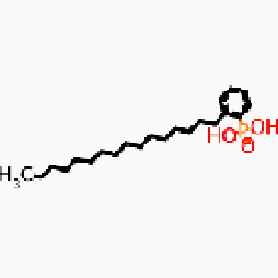 CCCCCCCCCCCCCCCCc1ccccc1P(=O)(O)O